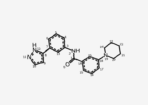 O=C(Nc1cccc(-c2ccn[nH]2)c1)c1cccc(N2CCCCC2)c1